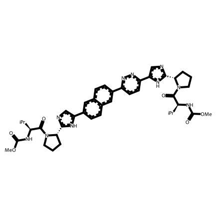 COC(=O)N[C@H](C(=O)N1CCC[C@H]1c1ncc(-c2ccc3cc(-c4ccc(-c5cnc([C@@H]6CCCN6C(=O)[C@@H](NC(=O)OC)C(C)C)[nH]5)nn4)ccc3c2)[nH]1)C(C)C